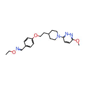 CCON=Cc1ccc(OCCC2CCN(c3ccc(OC)nn3)CC2)cc1